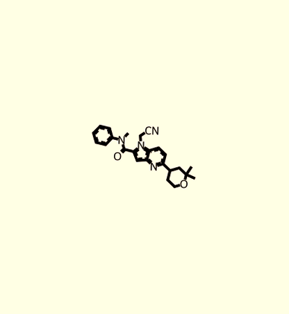 CN(C(=O)c1cc2nc(C3CCOC(C)(C)C3)ccc2n1CC#N)c1ccccc1